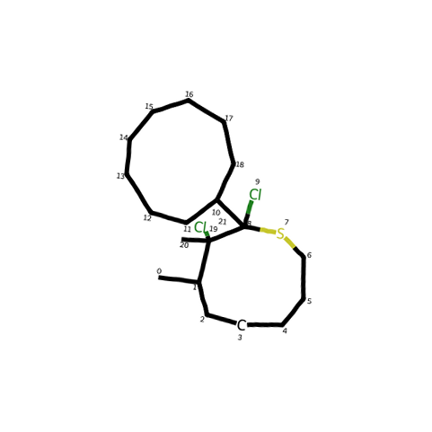 CC1CCCCCSC(Cl)(C2CCCCCCCC2)C1(C)Cl